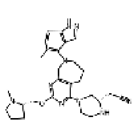 Cc1ccc2[nH]ncc2c1N1CCCc2c(nc(OC[C@@H]3CCCN3C)nc2N2CCN[C@@H](CC#N)C2)C1